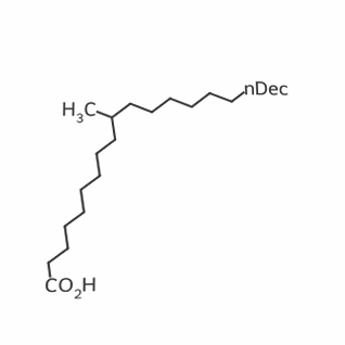 CCCCCCCCCCCCCCCCC(C)CCCCCCCCC(=O)O